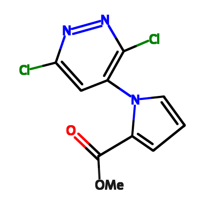 COC(=O)c1cccn1-c1cc(Cl)nnc1Cl